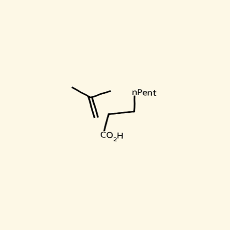 C=C(C)C.CCCCCCCC(=O)O